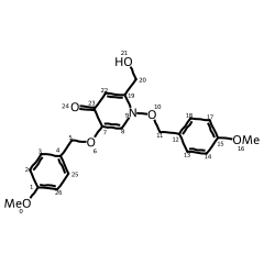 COc1ccc(COc2cn(OCc3ccc(OC)cc3)c(CO)cc2=O)cc1